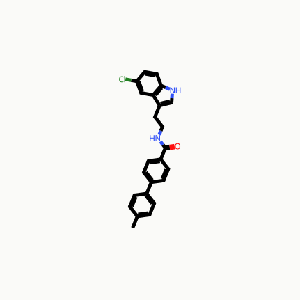 Cc1ccc(-c2ccc(C(=O)NCCc3c[nH]c4ccc(Cl)cc34)cc2)cc1